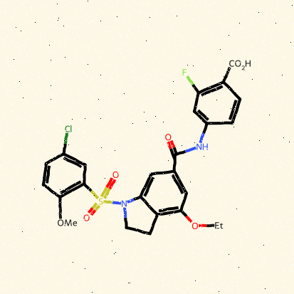 CCOc1cc(C(=O)Nc2ccc(C(=O)O)c(F)c2)cc2c1CCN2S(=O)(=O)c1cc(Cl)ccc1OC